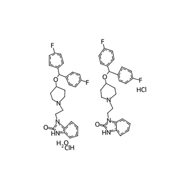 Cl.Cl.O.O=c1[nH]c2ccccc2n1CCN1CCC(OC(c2ccc(F)cc2)c2ccc(F)cc2)CC1.O=c1[nH]c2ccccc2n1CCN1CCC(OC(c2ccc(F)cc2)c2ccc(F)cc2)CC1